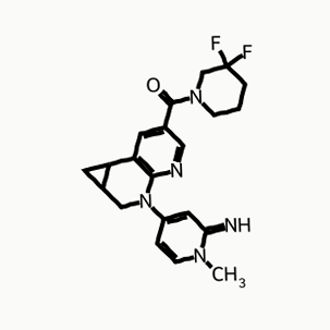 Cn1ccc(N2CC3CC3c3cc(C(=O)N4CCCC(F)(F)C4)cnc32)cc1=N